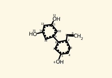 C=Cc1ccc(O)cc1-c1cc(O)cc(O)c1